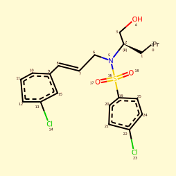 CC(C)C[C@H](CO)N(CC=Cc1cccc(Cl)c1)S(=O)(=O)c1ccc(Cl)cc1